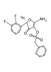 [2H][C@]1(c2cccc(F)c2F)OC(N)=C(OS(=O)(=O)Cc2ccccc2)C1=O